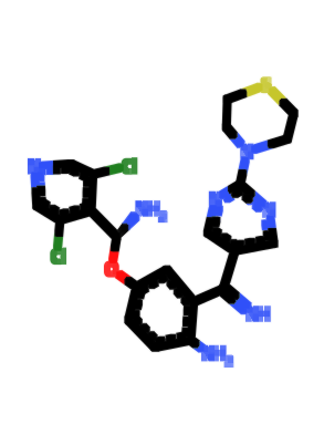 N=C(c1cnc(N2CCSCC2)nc1)c1cc(O[C@H](N)c2c(Cl)cncc2Cl)ccc1N